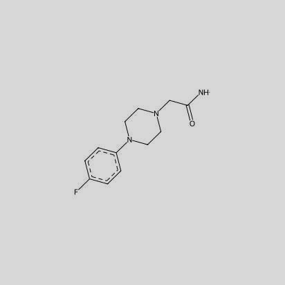 [NH]C(=O)CN1CCN(c2ccc(F)cc2)CC1